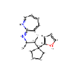 CC(N=c1cccccn1)C(C)C1(c2ccco2)CCCC1